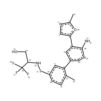 Cc1ncc(-c2cc(-c3cc(SNC(CO)C(F)(F)F)ccc3C)cnc2N)o1